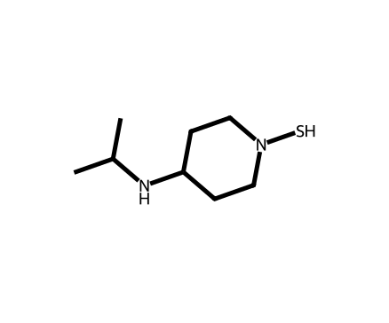 CC(C)NC1CCN(S)CC1